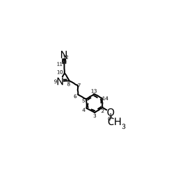 COc1ccc(CCC2=NC2C#N)cc1